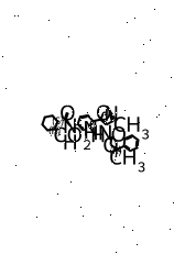 Cc1noc(-c2ccc(NC(=O)[C@H]3CCCC[C@H]3C(=O)O)cn2)c1NC(=O)O[C@H](C)c1ccccc1